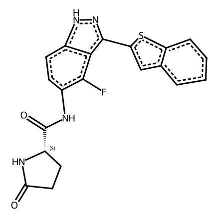 O=C1CC[C@@H](C(=O)Nc2ccc3[nH]nc(-c4cc5ccccc5s4)c3c2F)N1